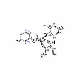 C=C/C=C(\C=C/C)SN(C)C1=C(Oc2ccc(C)cc2C)NC(C=C)C(C=C)=N1